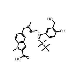 C[C@H](Cc1ccc2c(c1)cc(C(=O)O)n2C)NC[C@@H](O[Si](C)(C)C(C)(C)C)c1ccc(O)c(CO)c1